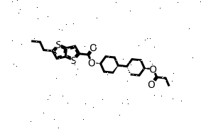 CCCc1cc2sc(C(=O)O[C@H]3CC[C@H]([C@H]4CC[C@H](OC(=O)CC)CC4)CC3)cc2s1